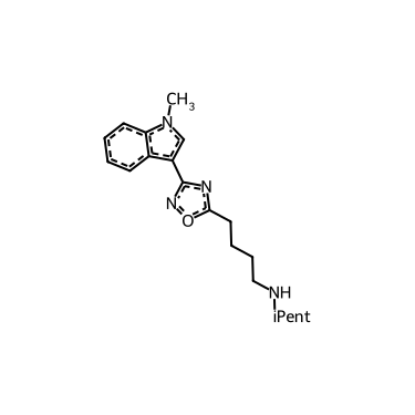 CCCC(C)NCCCCc1nc(-c2cn(C)c3ccccc23)no1